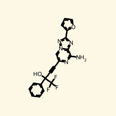 Nc1nc(C#CC(O)(c2ccccc2)C(F)(F)F)cn2nc(-c3ccco3)nc12